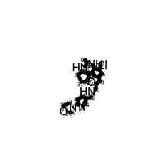 C=C1Nc2c(Cl)cc3cc(CNCc4ccc(N5CCOCC5)nc4)oc3c2C2(CCCCC2)N1